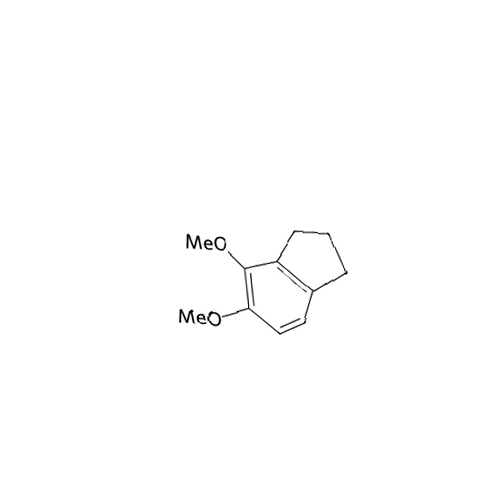 COc1ccc2c(c1OC)CCC2